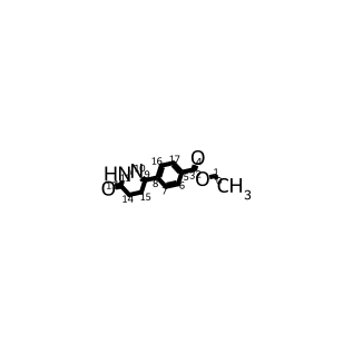 CCOC(=O)c1ccc(C2=NNC(=O)CC2)cc1